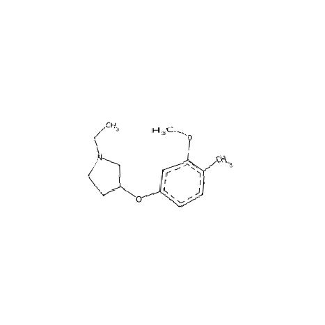 CCN1CCC(Oc2ccc(C)c(OC)c2)C1